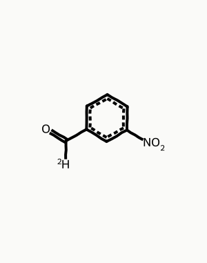 [2H]C(=O)c1cccc([N+](=O)[O-])c1